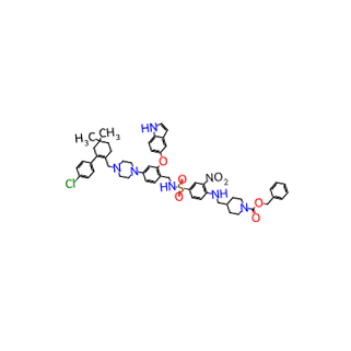 CC1(C)CCC(CN2CCN(c3ccc(CNS(=O)(=O)c4ccc(NCC5CCN(C(=O)OCc6ccccc6)CC5)c([N+](=O)[O-])c4)c(Oc4ccc5[nH]ccc5c4)c3)CC2)=C(c2ccc(Cl)cc2)C1